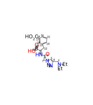 CCN(CC)Cc1cn(CC(=O)NC2Cc3cccc(C(=O)O)c3OB2O)nn1